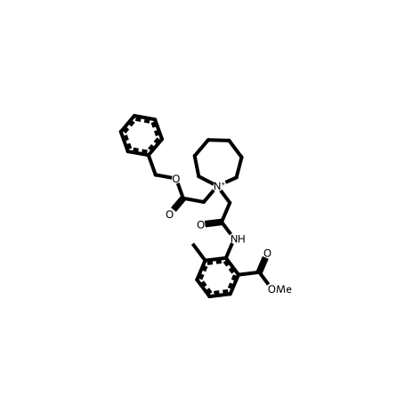 COC(=O)c1cccc(C)c1NC(=O)C[N+]1(CC(=O)OCc2ccccc2)CCCCCC1